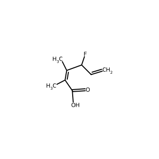 C=CC(F)C(C)=C(C)C(=O)O